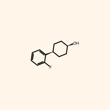 O[C@H]1CC[C@@H](c2ccccc2F)CC1